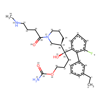 CCc1cccc(-c2c(F)cccc2[C@](O)(CCCOC(N)=O)[C@@H]2CCCN(C(=O)CCCNC)C2)c1